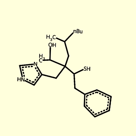 CCCCC(C)CC(Cc1c[nH]cn1)(C(C)O)C(S)Cc1ccccc1